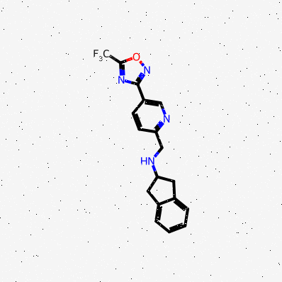 FC(F)(F)c1nc(-c2ccc(CNC3Cc4ccccc4C3)nc2)no1